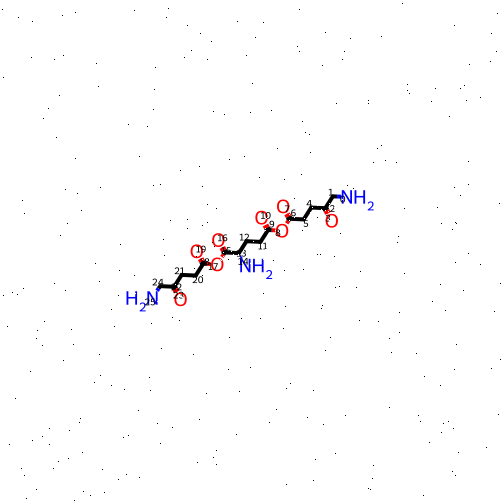 NCC(=O)CCC(=O)OC(=O)CC[C@H](N)C(=O)OC(=O)CCC(=O)CN